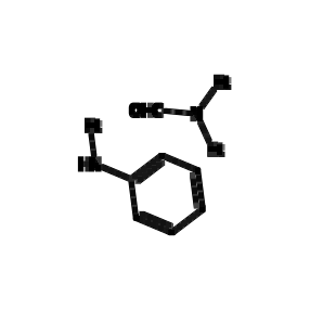 CCN(C=O)CC.CCNc1ccccc1